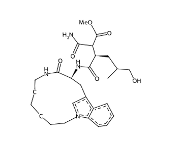 COC(=O)C(C(N)=O)[C@@H](CC(C)CO)C(=O)N[C@H]1Cc2cn(c3ccccc23)CCCCCCNC1=O